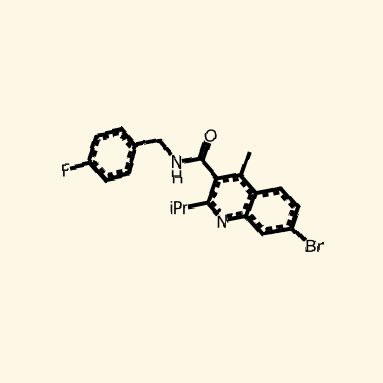 Cc1c(C(=O)NCc2ccc(F)cc2)c(C(C)C)nc2cc(Br)ccc12